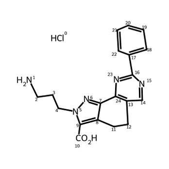 Cl.NCCCn1nc2c(c1C(=O)O)CCc1cnc(-c3ccccc3)nc1-2